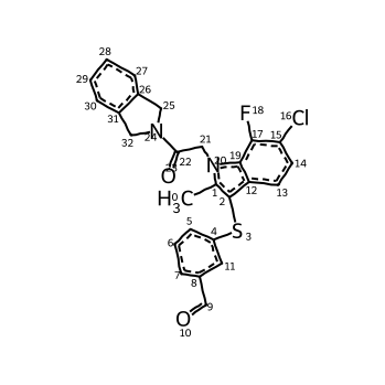 Cc1c(Sc2cccc(C=O)c2)c2ccc(Cl)c(F)c2n1CC(=O)N1Cc2ccccc2C1